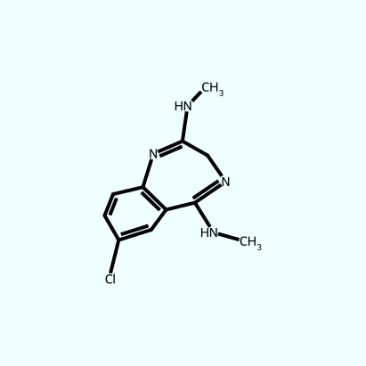 CNC1=Nc2ccc(Cl)cc2C(NC)=NC1